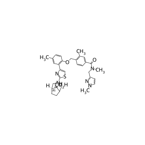 Cc1ccc(OCc2ccc(C(=O)N(C)Cc3ccn(C)n3)cc2C)c(-c2csc(N3CC4CC[C@@H](C3)[C@H]4C(=O)O)n2)c1